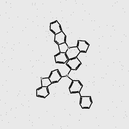 c1ccc(-c2ccc(N(c3ccc(-c4ccccc4-n4c5ccccc5c5cc6ccccc6cc54)cc3)c3ccc4sc5ccccc5c4c3)cc2)cc1